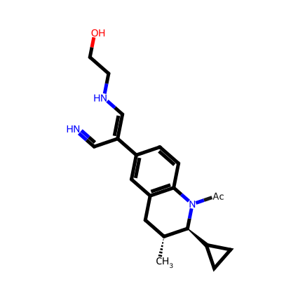 CC(=O)N1c2ccc(/C(C=N)=C/NCCO)cc2C[C@@H](C)[C@@H]1C1CC1